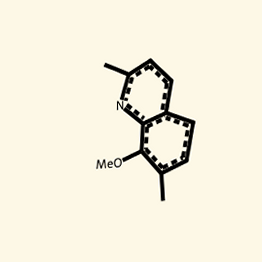 COc1c(C)ccc2ccc(C)nc12